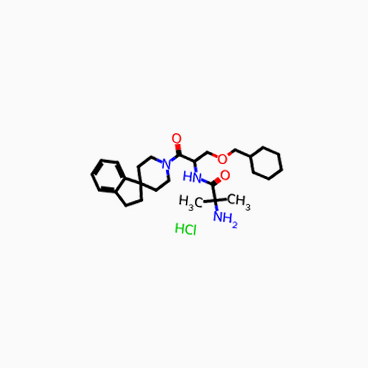 CC(C)(N)C(=O)NC(COCC1CCCCC1)C(=O)N1CCC2(CCc3ccccc32)CC1.Cl